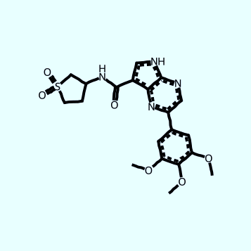 COc1cc(-c2cnc3[nH]cc(C(=O)NC4CCS(=O)(=O)C4)c3n2)cc(OC)c1OC